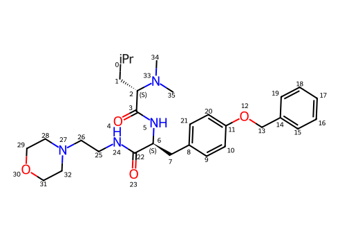 CC(C)C[C@@H](C(=O)N[C@@H](Cc1ccc(OCc2ccccc2)cc1)C(=O)NCCN1CCOCC1)N(C)C